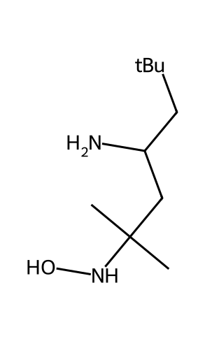 CC(C)(C)CC(N)CC(C)(C)NO